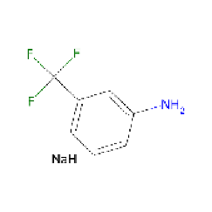 Nc1cccc(C(F)(F)F)c1.[NaH]